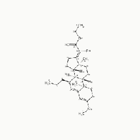 CCC[C@@H]1C=C2C=C(OC)CC[C@]2(C)[C@H]2CC[C@]3(C)C(=C(F)C(=O)OCC)CC[C@H]3[C@H]12